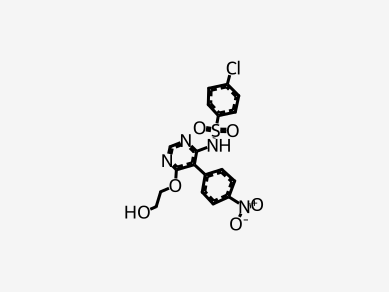 O=[N+]([O-])c1ccc(-c2c(NS(=O)(=O)c3ccc(Cl)cc3)ncnc2OCCO)cc1